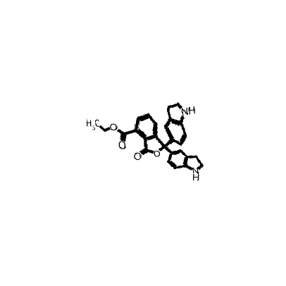 CCOC(=O)c1cccc2c1C(=O)OC2(c1ccc2c(c1)CCN2)c1ccc2c(c1)CCN2